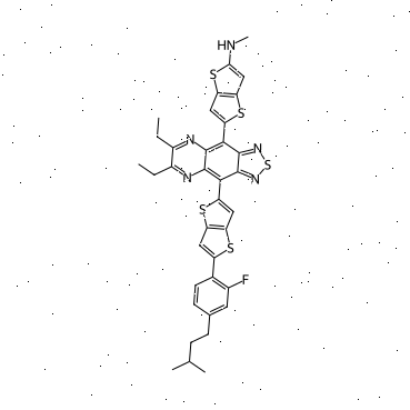 CCc1nc2c(-c3cc4sc(NC)cc4s3)c3nsnc3c(-c3cc4sc(-c5ccc(CCC(C)C)cc5F)cc4s3)c2nc1CC